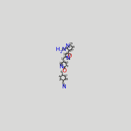 N#Cc1ccc(COc2ccc(Cc3cc(-c4cccnc4N)on3)cn2)cc1